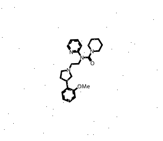 COc1ccccc1C1CCN(CCN(C(=O)N2CCCCC2)c2ccccn2)C1